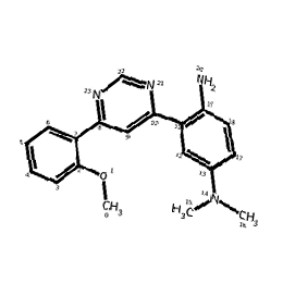 COc1ccccc1-c1cc(-c2cc(N(C)C)ccc2N)ncn1